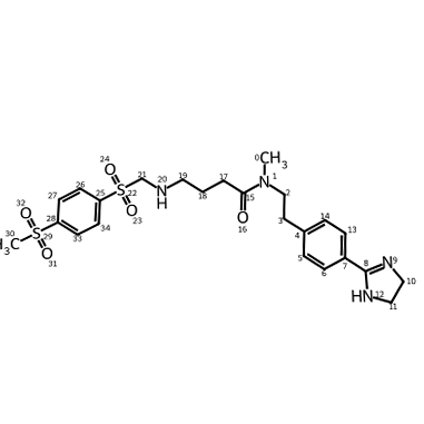 CN(CCc1ccc(C2=NCCN2)cc1)C(=O)CCCNCS(=O)(=O)c1ccc(S(C)(=O)=O)cc1